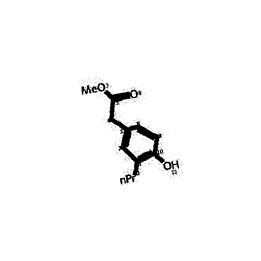 CCCc1cc(CC(=O)OC)ccc1O